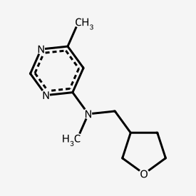 Cc1cc(N(C)CC2CCOC2)ncn1